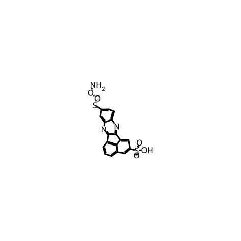 NOOSc1ccc2nc3c(nc2c1)-c1cccc2cc(S(=O)(=O)O)cc-3c12